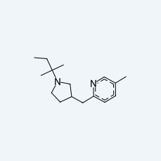 CCC(C)(C)N1CCC(Cc2ccc(C)cn2)C1